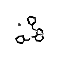 [Br-].c1ccc(COc2ccc[n+]3ccn(Cc4ccccc4)c23)cc1